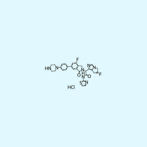 Cl.O=C(Nc1nccs1)C(c1ncn2c1C[C@@H](F)C2)N1Cc2c(F)cc(-c3ccc(N4CCNCC4)cc3)cc2C1=O